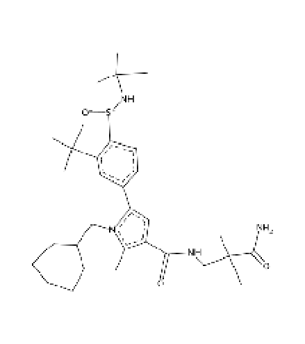 Cc1c(C(=O)NCC(C)(C)C(N)=O)cc(-c2ccc([S+]([O-])NC(C)(C)C)c(C(C)(C)C)c2)n1CC1CCCCC1